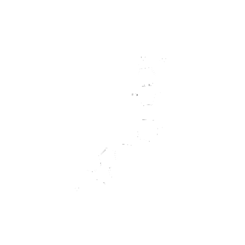 COc1cc2c(cc1OC)C(=O)N(CC1CCCCN(CCc3ccc4c(C)c(OC)ccc4c3)C1)CC2.Cl.Cl